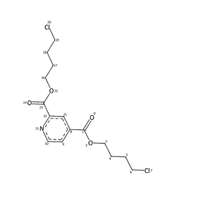 O=C(OCCCCCl)c1ccnc(C(=O)OCCCCCl)c1